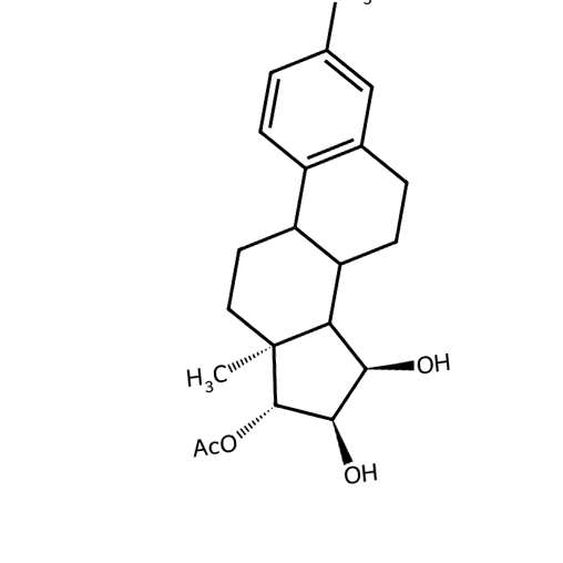 CC(=O)O[C@H]1[C@H](O)[C@H](O)C2C3CCc4cc(C)ccc4C3CC[C@@]21C